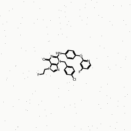 O=c1nc(Nc2ccc(Oc3cc(F)ccn3)cc2)n(Cc2ccc(Cl)cc2)c2ncn(CCF)c12